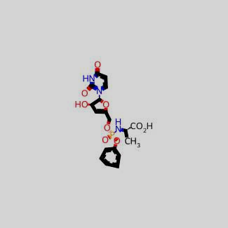 C[C@H](N[P@](=O)(OCC1=C[C@@H](O)[C@H](n2ccc(=O)[nH]c2=O)O1)Oc1ccccc1)C(=O)O